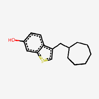 Oc1ccc2c(CC3CCCCCC3)csc2c1